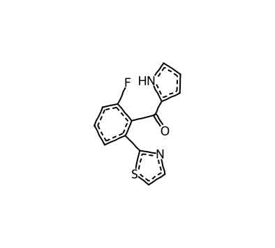 O=C(c1ccc[nH]1)c1c(F)cccc1-c1nccs1